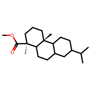 COC(=O)[C@@]1(C)CCC[C@]2(C)C3CCC(C(C)C)CC3CCC21